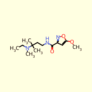 CCN(C)C(C)(C)CCNC(=O)c1cc(OC)on1